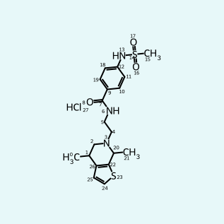 CC1CN(CCNC(=O)c2ccc(NS(C)(=O)=O)cc2)C(C)c2sccc21.Cl